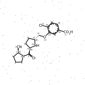 N#C[C@@H]1CCCN1C(=O)[C@H]1CC[C@H](COc2cc(C(=O)O)ccc2Cl)N1